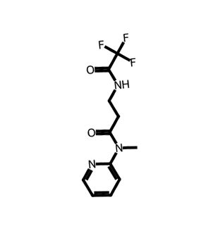 CN(C(=O)CCNC(=O)C(F)(F)F)c1ccccn1